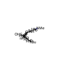 CCCCC(=O)NCCCNC(=O)CCN(CCC)c1nc(NCCC=O)nc(N2CCN(C(=O)CCCC(=O)NCCCCCCNC(=O)/C=C/NC)CC2)n1